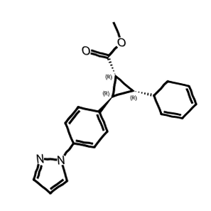 COC(=O)[C@H]1[C@H](c2ccc(-n3cccn3)cc2)[C@H]1C1C=CC=CC1